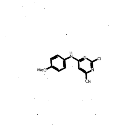 COc1ccc(Nc2cc(C#N)nc(Cl)n2)cc1